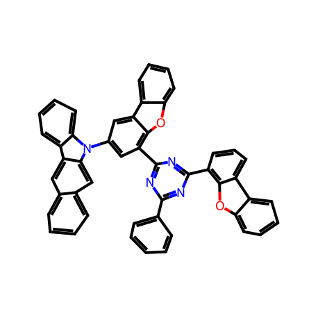 c1ccc(-c2nc(-c3cccc4c3oc3ccccc34)nc(-c3cc(-n4c5ccccc5c5cc6ccccc6cc54)cc4c3oc3ccccc34)n2)cc1